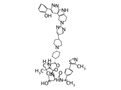 Cc1ncsc1-c1ccc([C@H](C)NC(=O)[C@@H]2C[C@@H](O)CN2C(=O)[C@@H](NC(=O)[C@H]2CC[C@@H](N3CCC(c4cnc(N5CCc6[nH]c7nnc(-c8ccccc8O)cc7c6C5)nc4)CC3)CC2)C(C)(C)C)cc1